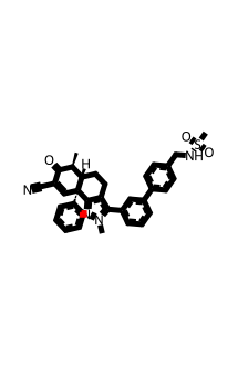 C[C@@H]1C(=O)C(C#N)=C[C@]2(c3ccccc3)c3nn(C)c(-c4cccc(-c5ccc(CNS(C)(=O)=O)cc5)c4)c3CC[C@@H]12